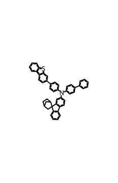 c1ccc(-c2ccc(N(c3ccc(-c4ccc5c(c4)sc4ccccc45)cc3)c3ccc4c(c3)C3(CC5CCC3C5)c3ccccc3-4)cc2)cc1